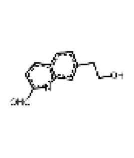 O=Cc1ccc2ccc(CCO)cc2n1